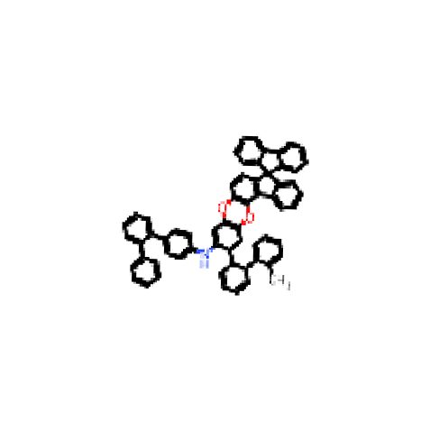 Cc1ccccc1C1C=CC=CC1C1CC2=C(C=C1Nc1ccc(-c3ccccc3-c3ccccc3)cc1)Oc1ccc3c(c1O2)-c1ccccc1C31c2ccccc2-c2ccccc21